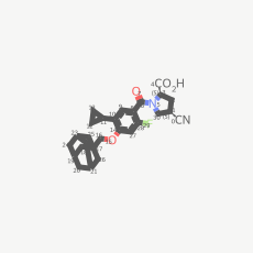 N#C[C@H]1C[C@@H](C(=O)O)N(C(=O)c2cc(C3CC3)c(OCC34CC5CC(CC(C5)C3)C4)cc2F)C1